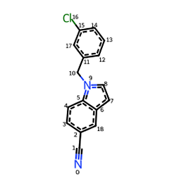 N#Cc1ccc2c(ccn2Cc2cccc(Cl)c2)c1